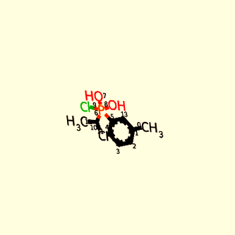 Cc1cccc(P(O)(O)(Cl)C(C)C)c1